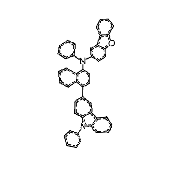 c1ccc(N(c2ccc3oc4ccccc4c3c2)c2ccc(-c3ccc4c(c3)c3ccccc3n4-c3ccccc3)c3ccccc23)cc1